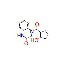 O=C1CN(C(=O)C2CCCC2O)c2ccccc2N1